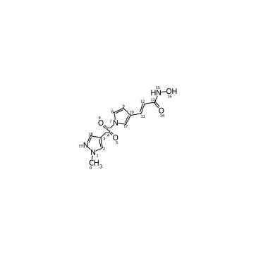 Cn1cc(S(=O)(=O)n2ccc(/C=C/C(=O)NO)c2)cn1